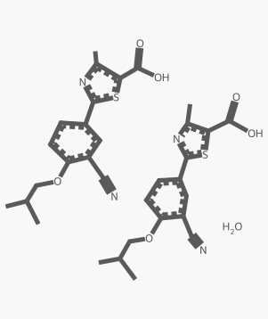 Cc1nc(-c2ccc(OCC(C)C)c(C#N)c2)sc1C(=O)O.Cc1nc(-c2ccc(OCC(C)C)c(C#N)c2)sc1C(=O)O.O